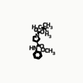 COc1ccccc1NC(=O)[C@H]1CCN(C(=O)OC(C)(C)C)C1